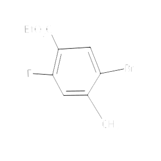 CCOC(=O)c1cc(Br)c(C)cc1F